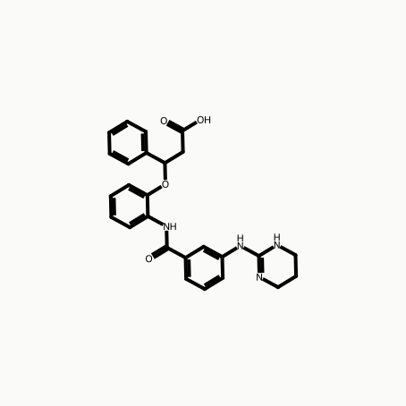 O=C(O)CC(Oc1ccccc1NC(=O)c1cccc(NC2=NCCCN2)c1)c1ccccc1